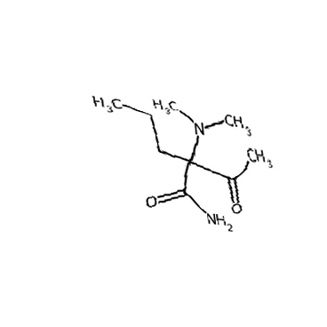 CCCC(C(C)=O)(C(N)=O)N(C)C